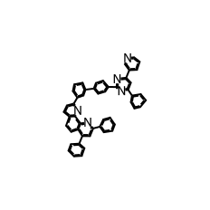 c1ccc(-c2cc(-c3cccnc3)nc(-c3ccc(-c4cccc(-c5ccc6ccc7c(-c8ccccc8)cc(-c8ccccc8)nc7c6n5)c4)cc3)n2)cc1